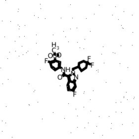 CS(=O)(=O)c1cc(NC(=O)c2c3ccc(F)cc3nn2CC2CCC(F)(F)CC2)ccc1F